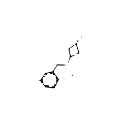 NC1CC(OCc2ccccc2)C1.O=CO